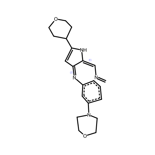 C=N/C=C1/NC(C2CCOCC2)=C/C1=N/c1cccc(N2CCOCC2)c1